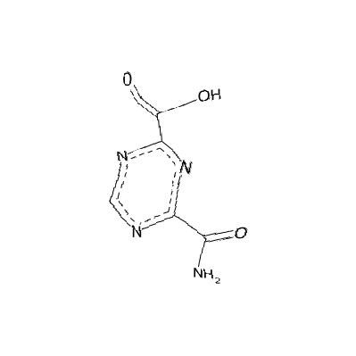 NC(=O)c1ncnc(C(=O)O)n1